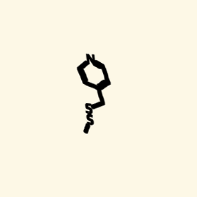 CSSCc1ccncc1